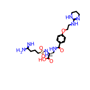 N=C(N)CCCS(=O)(=O)N[C@@H](CNC(=O)c1ccc(OCCNC2=NCCCN2)cc1)C(=O)O